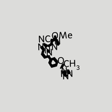 COc1ncnc(-c2cnc3ccc(-c4cccc(OC(C)Cn5cnnn5)c4)nn23)c1C#N